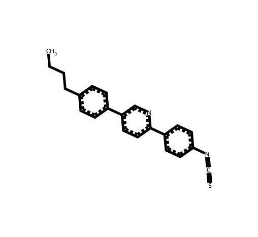 CCCCc1ccc(-c2ccc(-c3ccc(N=C=S)cc3)nc2)cc1